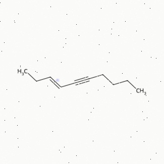 CC/C=C/C#CCCCC